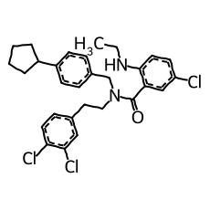 CCNc1ccc(Cl)cc1C(=O)N(CCc1ccc(Cl)c(Cl)c1)Cc1ccc(C2CCCC2)cc1